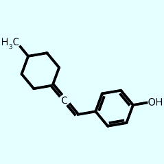 CC1CCC(=C=Cc2ccc(O)cc2)CC1